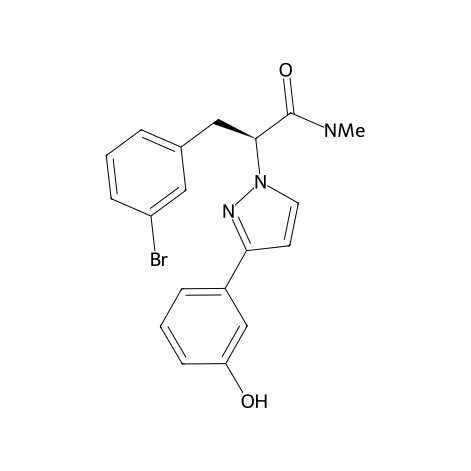 CNC(=O)[C@H](Cc1cccc(Br)c1)n1ccc(-c2cccc(O)c2)n1